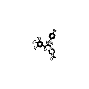 COc1cc(C(=O)c2nn(-c3ccc(Br)cc3)nc2N2CCN(C(C)=O)CC2)cc(OC)c1OC